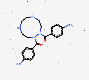 Nc1ccc(C(=O)N2CCNCCNCCN2C(=O)c2ccc(N)cc2)cc1